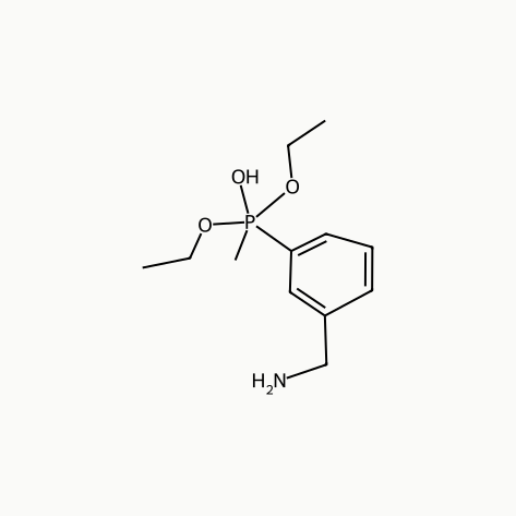 CCOP(C)(O)(OCC)c1cccc(CN)c1